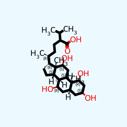 CC(C)C(CC[C@@H](C)[C@H]1CC[C@H]2[C@@H]3[C@H](O)C[C@@H]4C[C@H](O)C[C@@H](O)[C@]4(C)[C@H]3C[C@H](O)[C@]12C)C(=O)O